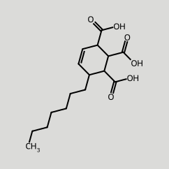 CCCCCCCC1C=CC(C(=O)O)C(C(=O)O)C1C(=O)O